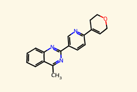 Cc1nc(-c2ccc(C3=CCOCC3)nc2)nc2ccccc12